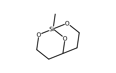 C[Si]12OCCC(CCO1)O2